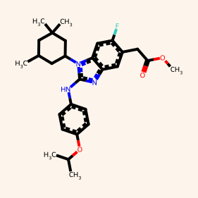 COC(=O)Cc1cc2nc(Nc3ccc(OC(C)C)cc3)n(C3CC(C)CC(C)(C)C3)c2cc1F